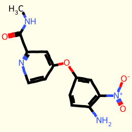 CNC(=O)c1cc(Oc2ccc(N)c([N+](=O)[O-])c2)ccn1